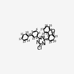 Clc1nc(-c2cccc(-c3ccccc3)c2)nc(-c2cccc3oc4ccccc4c23)n1